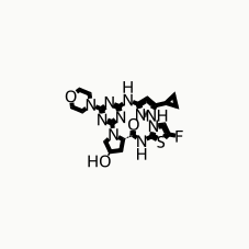 O=C(Nc1ncc(F)s1)[C@@H]1C[C@H](O)CN1c1nc(Nc2cc(C3CC3)[nH]n2)nc(N2CCOCC2)n1